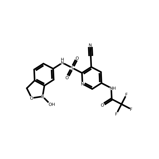 N#Cc1cc(NC(=O)C(F)(F)F)cnc1S(=O)(=O)Nc1ccc2c(c1)B(O)OC2